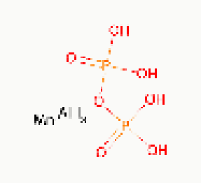 O=P(O)(O)OP(=O)(O)O.[AlH3].[Mn]